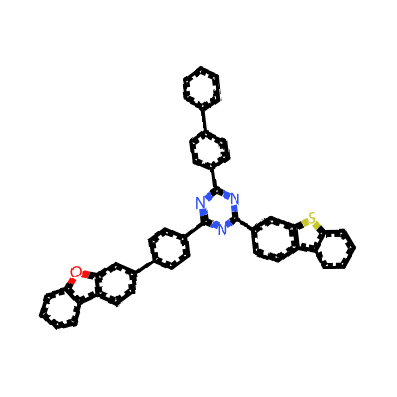 c1ccc(-c2ccc(-c3nc(-c4ccc(-c5ccc6c(c5)oc5ccccc56)cc4)nc(-c4ccc5c(c4)sc4ccccc45)n3)cc2)cc1